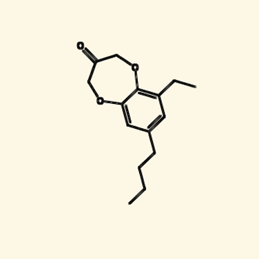 CCCCc1cc(CC)c2c(c1)OCC(=O)CO2